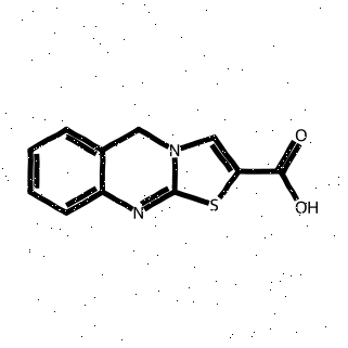 O=C(O)C1=CN2Cc3ccccc3N=C2S1